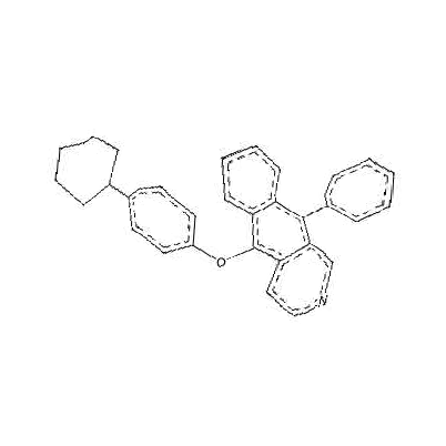 c1ccc(-c2c3ccccc3c(Oc3ccc(C4CCCCC4)cc3)c3ccncc23)cc1